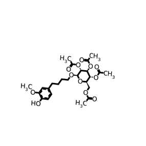 COc1cc(CCCCO[C@@H]2O[C@H](COC(C)=O)[C@@H](OC(C)=O)[C@H](OC(C)=O)[C@H]2OC(C)=O)ccc1O